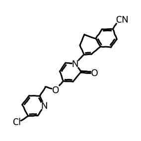 N#Cc1ccc2c(c1)CCC(n1ccc(OCc3ccc(Cl)cn3)cc1=O)=C2